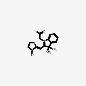 CCC(=O)C[N+]1=C(/C=C2\SCCN2CC)C(C)(C)c2ccccc21